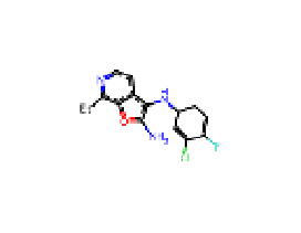 CCc1nccc2c(NC3C=C(Cl)C(F)=CC3)c(N)oc12